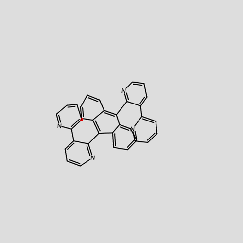 c1ccc(-c2cccnc2-c2c3ccccc3c(-c3ncccc3-c3ccccn3)c3ccccc23)nc1